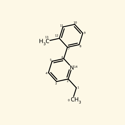 CCc1cccc(-c2ccccc2C)n1